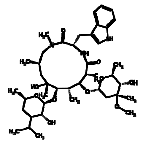 CO[C@]1(C)C[C@H](O[C@H]2[C@H](C)[C@@H](O[C@@H]3O[C@H](C)CC(C(C)C)[C@H]3O)[C@](C)(O)C[C@@H](C)CN(C)C(=O)[C@H](Cc3c[nH]c4ccccc34)NC(=O)[C@@H]2C)O[C@@H](C)[C@@H]1O